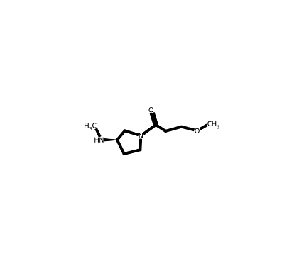 CN[C@@H]1CCN(C(=O)CCOC)C1